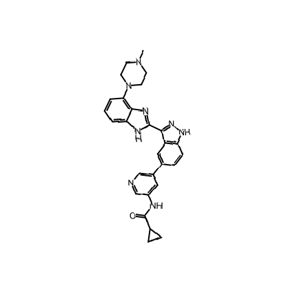 CN1CCN(c2cccc3[nH]c(-c4n[nH]c5ccc(-c6cncc(NC(=O)C7CC7)c6)cc45)nc23)CC1